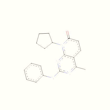 Cc1nc(Nc2ccccc2)nc2c1ccc(=O)n2C1CCCC1